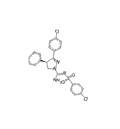 N/C(=N\S(=O)(=O)c1ccc(Cl)cc1)N1C[C@@H](c2ccccc2)C(c2ccc(Cl)cc2)=N1